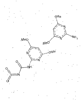 COc1cc(OC)nc(N)n1.COc1cc(OC)nc(NC(=O)N=S(=O)=O)n1